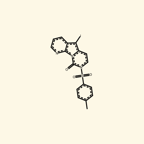 Cc1ccc(S(=O)(=O)n2ccc3c(I)c4cccnc4n3c2=O)cc1